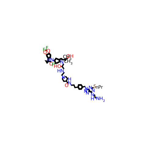 CCCSc1nc(NCCN)c2nnn(Cc3ccc(CCCNC(=O)C4CCN(CCNCC(O)Cn5c(C(C)(C)CO)cc6cc(NC(=O)C7(c8ccc9c(c8)OC(F)(F)O9)CC7)c(F)cc65)CC4)cc3)c2n1